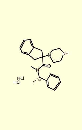 C[C@@H](c1ccccc1)N(C)C(=O)C1(N2CCNCC2)Cc2ccccc2C1.Cl.Cl